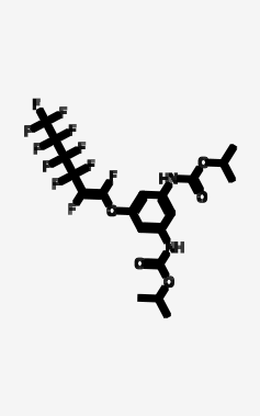 CC(C)OC(=O)Nc1cc(NC(=O)OC(C)C)cc(OC(F)=C(F)C(F)(F)C(F)(F)C(F)(F)C(F)(F)F)c1